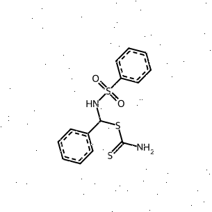 NC(=S)SC(NS(=O)(=O)c1ccccc1)c1ccccc1